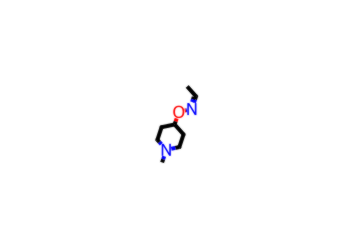 C/C=N\OC1CCN(C)CC1